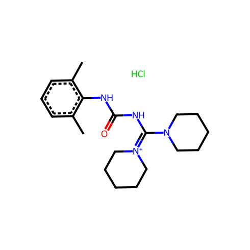 Cc1cccc(C)c1NC(=O)NC(N1CCCCC1)=[N+]1CCCCC1.Cl